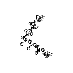 O=[N+]([O-])[O-].O=[N+]([O-])[O-].O=[N+]([O-])[O-].O=[N+]([O-])[O-].O=[N+]([O-])[O-].[Cl-].[Fe+2].[Fe+2].[Fe+2].[Fe+2].[Fe+2].[Fe+2]